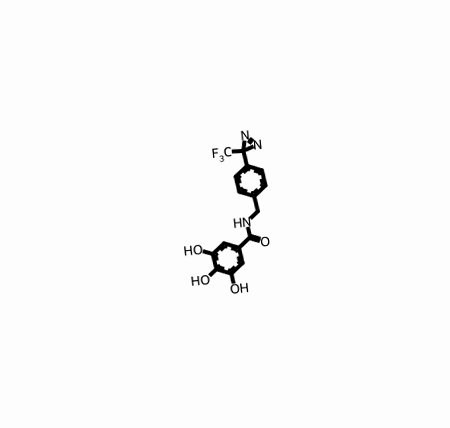 O=C(NCc1ccc(C2(C(F)(F)F)N=N2)cc1)c1cc(O)c(O)c(O)c1